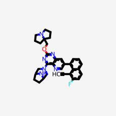 C#Cc1c(F)ccc2cccc(-c3cnc4c(N5CC6CCC(C5)N6)nc(OCC56CCCN5CCC6)nc4c3)c12